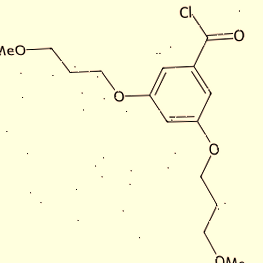 COCCCOc1cc(OCCCOC)cc(C(=O)Cl)c1